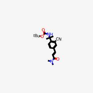 CN(C)C(=O)C=Cc1ccc(C(C)(C)NC(=O)OC(C)(C)C)c(C#N)c1